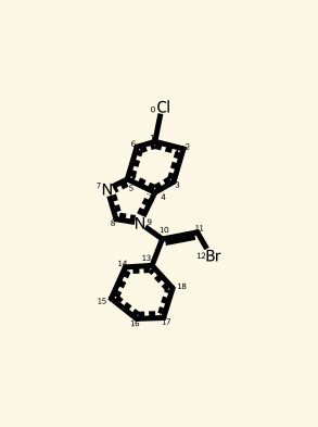 Clc1ccc2c(c1)ncn2C(=CBr)c1ccccc1